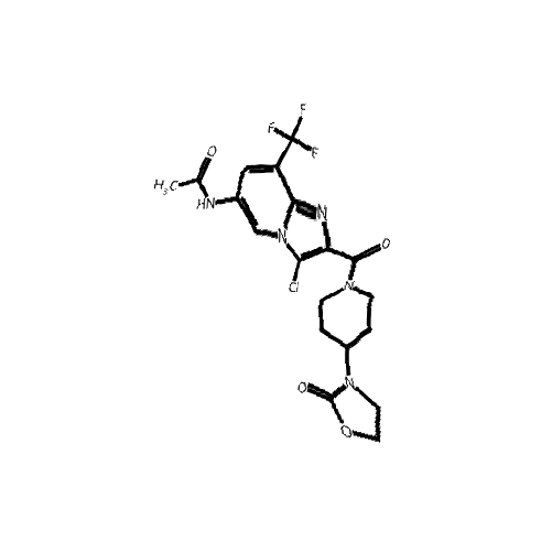 CC(=O)Nc1cc(C(F)(F)F)c2nc(C(=O)N3CCC(N4CCOC4=O)CC3)c(Cl)n2c1